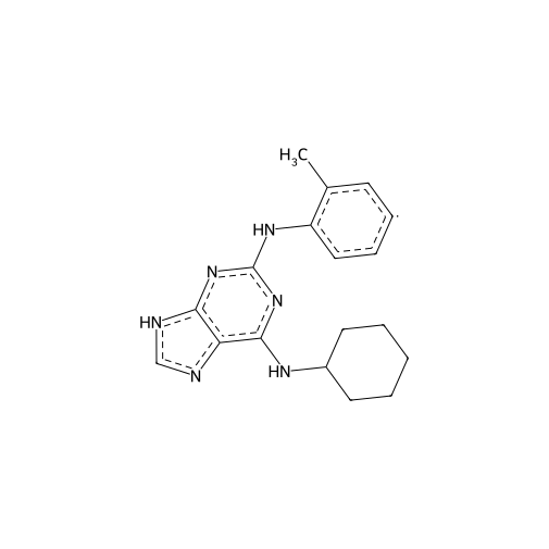 Cc1c[c]ccc1Nc1nc(NC2CCCCC2)c2nc[nH]c2n1